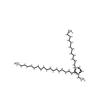 CCCCCCCCCCCCCCCCCCc1n(CC)cc[n+]1CCCCCCCCCCCC